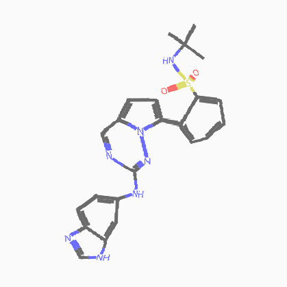 CC(C)(C)NS(=O)(=O)c1ccccc1-c1ccc2cnc(Nc3ccc4nc[nH]c4c3)nn12